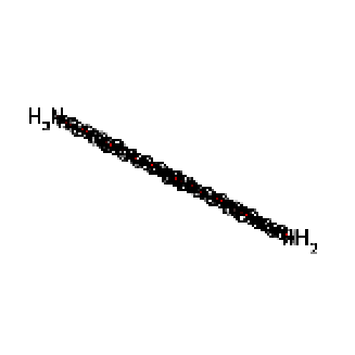 NCCOCCOCCOCCOCCOCCOCCOCCOCCOCCOCCOCCOCCOCCOCCOCCOCCOCCOCCOCCOCCOCCOCCOCCOCCOCCOCCOCCOCCOCCOCCN